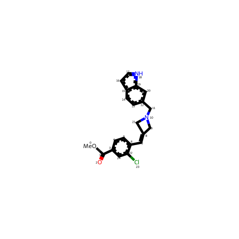 COC(=O)c1ccc(C=C2CN(Cc3ccc4cc[nH]c4c3)C2)c(Cl)c1